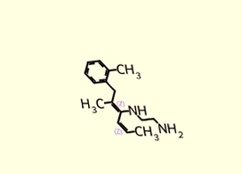 C/C=C\C(NCCN)=C(/C)Cc1ccccc1C